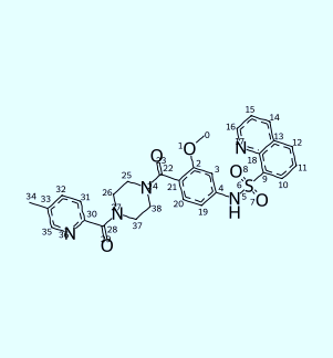 COc1cc(NS(=O)(=O)c2cccc3cccnc23)ccc1C(=O)N1CCN(C(=O)c2ccc(C)cn2)CC1